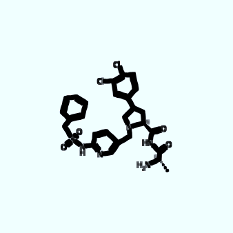 C[C@H](N)C(=O)NC(=O)[C@@H]1CC(c2ccc(Cl)c(Cl)c2)CN1Cc1ccc(NS(=O)(=O)Cc2ccccc2)nc1